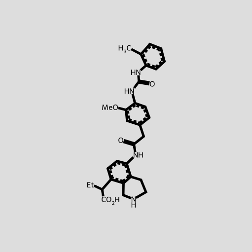 CCC(C(=O)O)c1ccc(NC(=O)Cc2ccc(NC(=O)Nc3ccccc3C)c(OC)c2)c2c1CNCC2